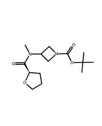 CN(C(=O)[C@H]1CCCO1)C1CN(C(=O)OC(C)(C)C)C1